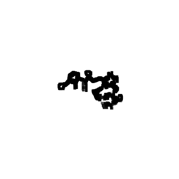 Cc1c(Cl)cccc1NC(=O)CCc1nnc(CNC(=O)C(C)C)n1C1CC1